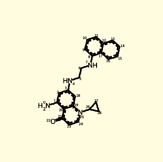 Nc1cc(NCCNc2cccc3ccccc23)cc2c1c(=O)ccn2C1CC1